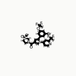 O=C(c1cc(-c2cc(Br)cc(OC(F)(F)F)c2)n(-c2ccnc(C(F)(F)F)c2)n1)N1CCS(=O)(=O)C1